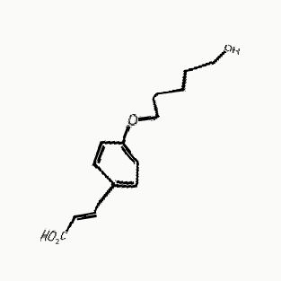 O=C(O)/C=C/c1ccc(OCCCCCO)cc1